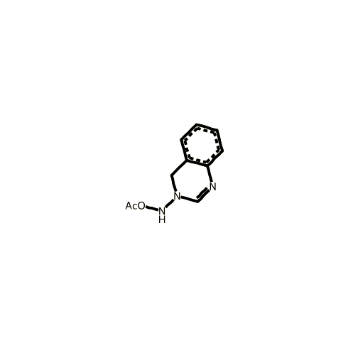 CC(=O)ONN1C=Nc2ccccc2C1